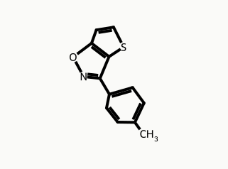 Cc1ccc(-c2noc3ccsc23)cc1